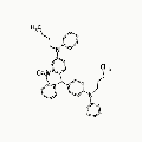 CCCCN(c1ccccc1)c1ccc(C(c2ccc(N(CCCC)c3ccccc3)cc2)c2ccccc2[N+](=O)[O-])cc1